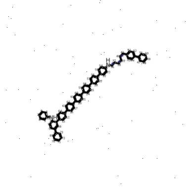 C1=CC(Nc2ccccc2)C(c2ccc(-c3ccc(-c4ccc(-c5ccc(-c6ccc(-c7ccc(N/C=C/C=C\C=C/c8ccc(-c9ccccc9)cc8)cc7)cc6)cc5)cc4)cc3)cc2)C=C1c1ccccc1